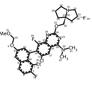 CCc1c(F)ccc2cc(OCOC)cc(-c3c(Cl)cc4c(N(C)C)nc(OC[C@@]56CCCN5C[C@H](F)C6)nc4c3F)c12